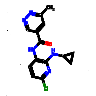 Cc1cc(C(=O)Nc2ccc(Cl)nc2NC2CC2)cnn1